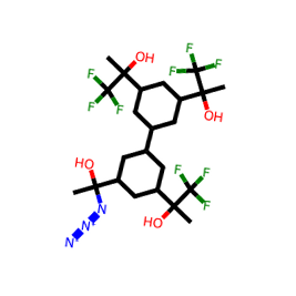 CC(O)(N=[N+]=[N-])C1CC(C2CC(C(C)(O)C(F)(F)F)CC(C(C)(O)C(F)(F)F)C2)CC(C(C)(O)C(F)(F)F)C1